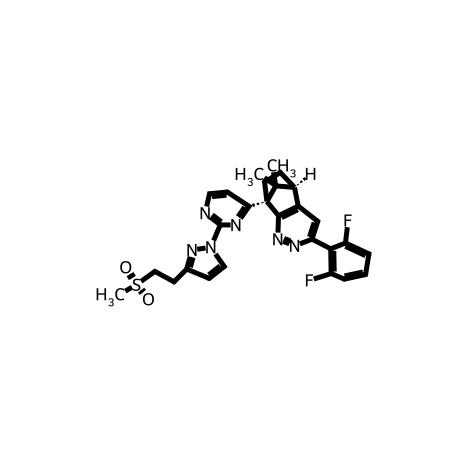 CC1(C)[C@H]2CC[C@]1(c1ccnc(-n3ccc(CCS(C)(=O)=O)n3)n1)c1nnc(-c3c(F)cccc3F)cc12